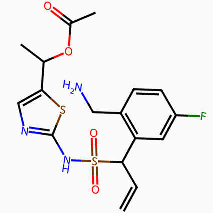 C=CC(c1cc(F)ccc1CN)S(=O)(=O)Nc1ncc(C(C)OC(C)=O)s1